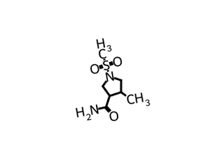 CC1CN(S(C)(=O)=O)CC1C(N)=O